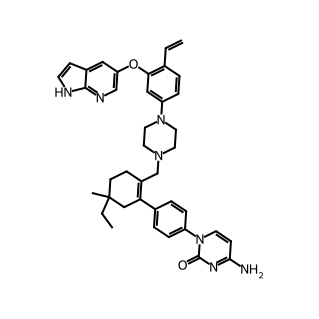 C=Cc1ccc(N2CCN(CC3=C(c4ccc(-n5ccc(N)nc5=O)cc4)CC(C)(CC)CC3)CC2)cc1Oc1cnc2[nH]ccc2c1